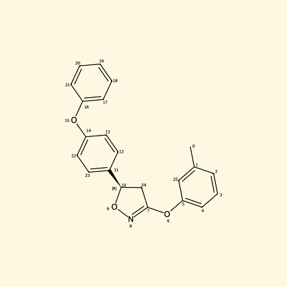 Cc1cccc(OC2=NO[C@@H](c3ccc(Oc4ccccc4)cc3)C2)c1